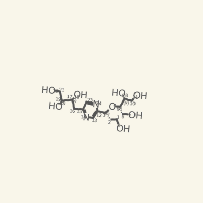 OCC[C@@H](O[C@@H](CO)[C@H](O)CO)c1cnc(C[C@H](O)[C@H](O)CO)cn1